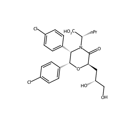 CCC[C@@H](C(=O)O)N1C(=O)[C@@H](C[C@@H](O)CO)O[C@H](c2ccc(Cl)cc2)[C@@H]1c1ccc(Cl)cc1